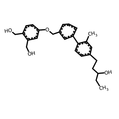 CCC(O)CCc1ccc(-c2cccc(COc3ccc(CO)c(CO)c3)c2)c(C)c1